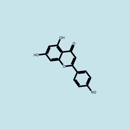 O=Nc1ccc(-c2cc(=O)c3c(O)cc(O)cc3o2)cc1